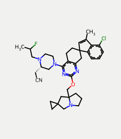 CC1=CC2(CCc3c(nc(OCC45CCCN4CC4(CC4)C5)nc3N3CCN(CC(C)F)[C@@H](CC#N)C3)C2)c2cccc(Cl)c21